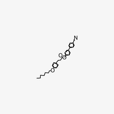 CCCCCCCOc1ccc(CCC(=O)Oc2ccc(-c3ccc(C#N)cc3)cc2)cc1